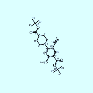 CSc1nc(N2CCC(C(=O)OC(C)(C)C)CC2)c(C#N)cc1C(=O)OC(C)(C)C